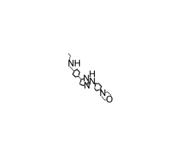 CCCNCc1ccc(-c2ccnc(Nc3ccc(N4CCOCC4)cc3)n2)cc1